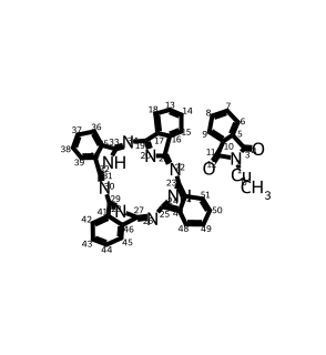 [CH3][Cu][N]1C(=O)c2ccccc2C1=O.c1ccc2c(c1)-c1nc-2nc2[nH]c(nc3nc(nc4[nH]c(n1)c1ccccc41)-c1ccccc1-3)c1ccccc21